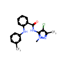 Cn1nc(C(F)(F)F)c(Cl)c1NC(=O)c1ccccc1Nc1cccc(C(F)(F)F)c1